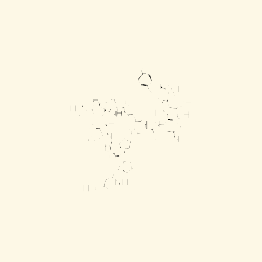 CC(C)C[C@H](N)C(=O)N1CCC[C@H]1C(=O)N1CCC[C@H]1C(=O)N[C@H](C(=O)N[C@@H](CC(N)=O)C(=O)N[C@H](C(=O)NCC(=O)N[C@@H](CO)C(=O)N[C@@H](CC(N)=O)C(=O)N[C@H](C(=O)N[C@@H](Cc1ccc(O)cc1)C(=O)O)[C@@H](C)O)C(C)C)[C@@H](C)O